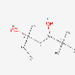 CCC(C)(O)CC(O)C(C)(C)C